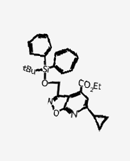 CCOC(=O)c1cc(C2CC2)nc2onc(CO[Si](c3ccccc3)(c3ccccc3)C(C)(C)C)c12